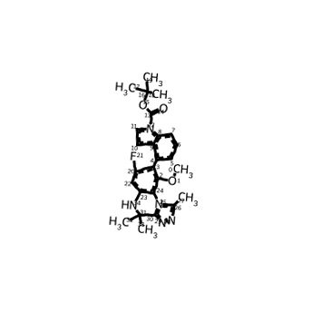 COc1c(-c2cccc3c2ccn3C(=O)OC(C)(C)C)c(F)cc2c1-n1c(C)nnc1C(C)(C)N2